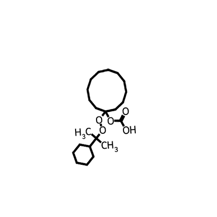 CC(C)(OOC1(OC(=O)O)CCCCCCCCCCC1)C1CCCCC1